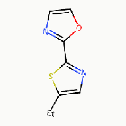 CCc1cnc(-c2ncco2)s1